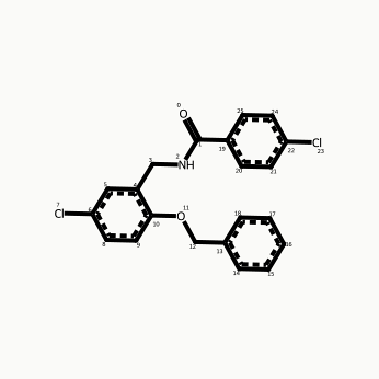 O=C(NCc1cc(Cl)ccc1OCc1ccccc1)c1ccc(Cl)cc1